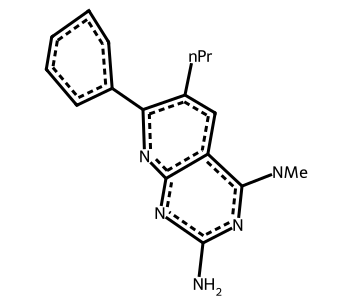 CCCc1cc2c(NC)nc(N)nc2nc1-c1ccccc1